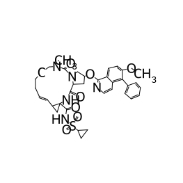 COc1ccc2c(OC3CC4C(=O)NC5(C(=O)NS(=O)(=O)C6CC6)CC5/C=C/CCCCN(C)C(=O)N4C3)nccc2c1-c1ccccc1